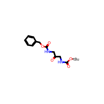 CC(C)(C)OC(=O)NCC(=O)CNC(=O)OCc1ccccc1